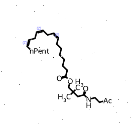 CCCCC/C=C\C/C=C\C/C=C\CCCCCCC(=O)OCC(C)(C)CC(=O)NCCC(C)=O